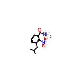 CC(C)Cc1cccc(C(N)=O)c1[N+](=O)[O-]